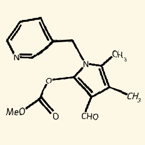 COC(=O)Oc1c(C=O)c(C)c(C)n1Cc1cccnc1